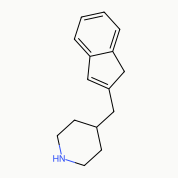 C1=C(CC2CCNCC2)Cc2ccccc21